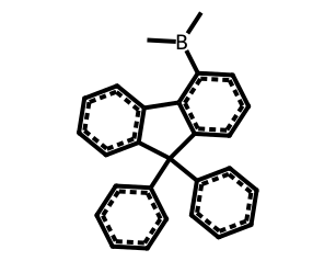 CB(C)c1cccc2c1-c1ccccc1C2(c1ccccc1)c1ccccc1